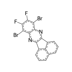 Fc1c(F)c(Br)c2nc3c(nc2c1Br)-c1cccc2cccc-3c12